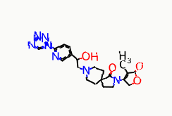 CC1=C(N2CCC3(CCN(CC(O)c4ccc(-n5cnnn5)nc4)CC3)C2=O)COC1=O